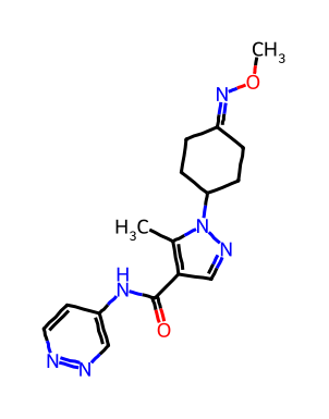 CON=C1CCC(n2ncc(C(=O)Nc3ccnnc3)c2C)CC1